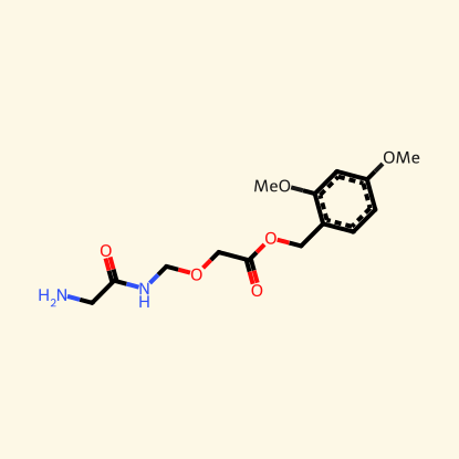 COc1ccc(COC(=O)COCNC(=O)CN)c(OC)c1